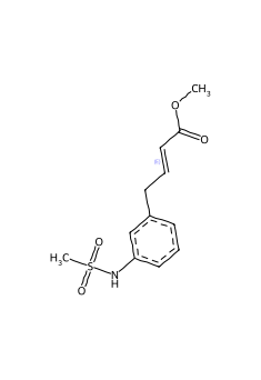 COC(=O)/C=C/Cc1cccc(NS(C)(=O)=O)c1